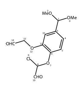 COC(OC)c1ccc(OC(Cl)C=O)c(OC[C]=O)c1